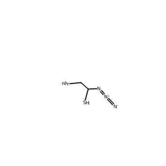 CCCCC(S)N=[N+]=[N-]